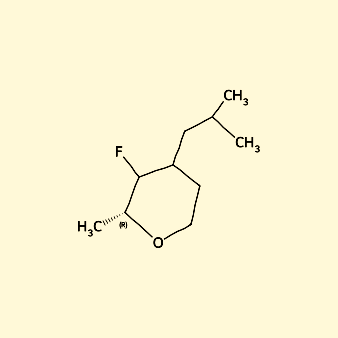 CC(C)CC1CCO[C@H](C)C1F